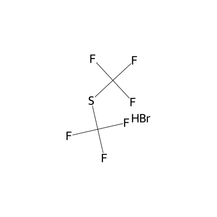 Br.FC(F)(F)SC(F)(F)F